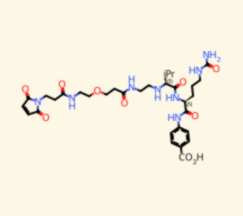 CC(C)[C@H](NCCNC(=O)CCOCCNC(=O)CCN1C(=O)C=CC1=O)C(=O)N[C@@H](CCCNC(N)=O)C(=O)Nc1ccc(C(=O)O)cc1